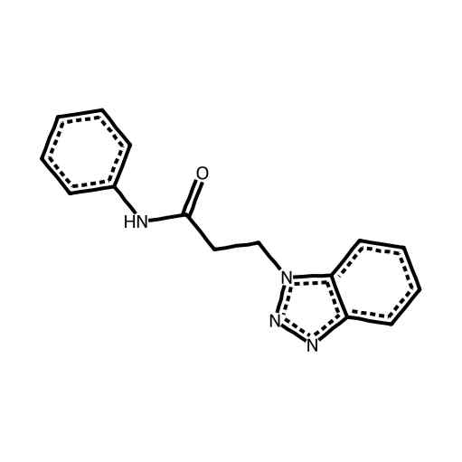 O=C(CCn1nnc2ccccc21)Nc1ccccc1